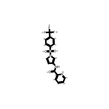 O=C(Nc1ccn(S(=O)(=O)c2ccc(C(F)(F)F)cc2)c1)c1ccccn1